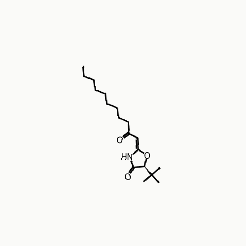 CCCCCCCCCC(=O)/C=C1\NC(=O)[C@H](C(C)(C)C)O1